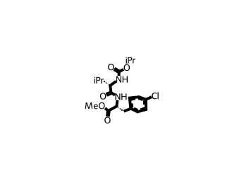 COC(=O)[C@@H](Cc1ccc(Cl)cc1)NC(=O)[C@@H](NC(=O)OC(C)C)C(C)C